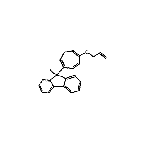 C=CCOC1=CCC=C(C2(C)c3ccccc3-c3ccccc32)C=C1